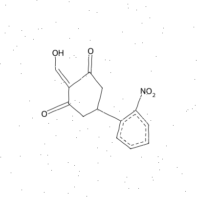 O=C1CC(c2ccccc2[N+](=O)[O-])CC(=O)C1=CO